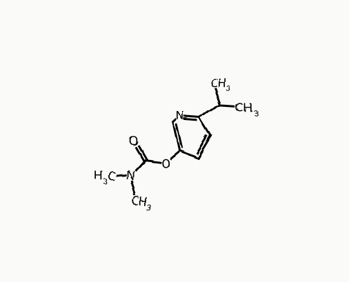 CC(C)c1ccc(OC(=O)N(C)C)cn1